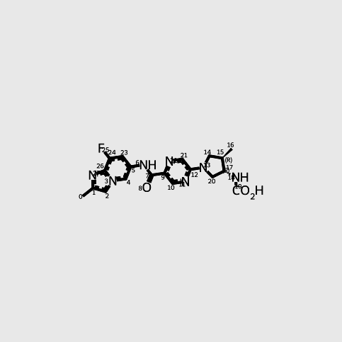 Cc1cn2cc(NC(=O)c3cnc(N4C[C@@H](C)[C@H](NC(=O)O)C4)cn3)cc(F)c2n1